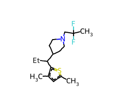 CCC(c1sc(C)cc1C)C1CCN(CC(C)(F)F)CC1